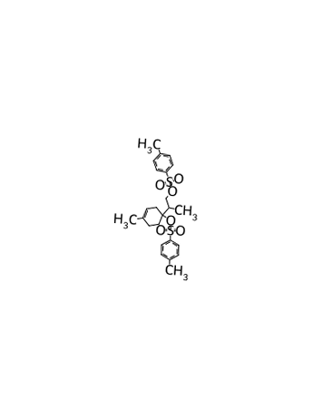 CC1=CCC(OS(=O)(=O)c2ccc(C)cc2)(C(C)COS(=O)(=O)c2ccc(C)cc2)CC1